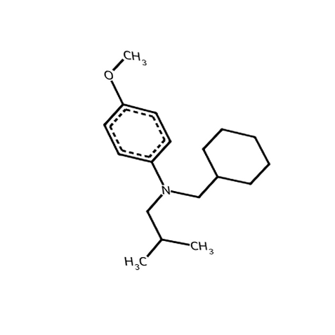 COc1ccc(N(CC(C)C)CC2CCCCC2)cc1